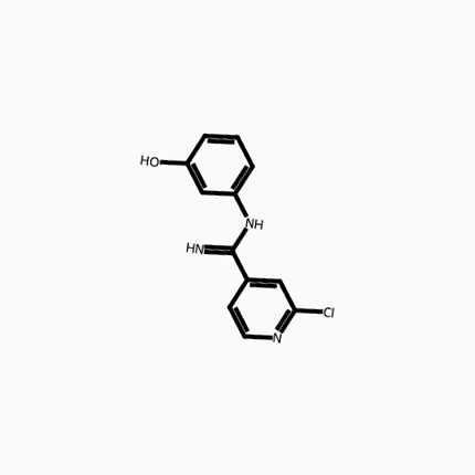 N=C(Nc1cccc(O)c1)c1ccnc(Cl)c1